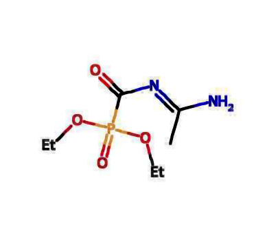 CCOP(=O)(OCC)C(=O)/N=C(\C)N